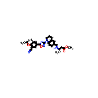 COC(=O)C[C@H](C)NCc1ccc2c(c1)CCCN2c1noc(-c2ccc(OC(C)C)c(C#N)c2)n1